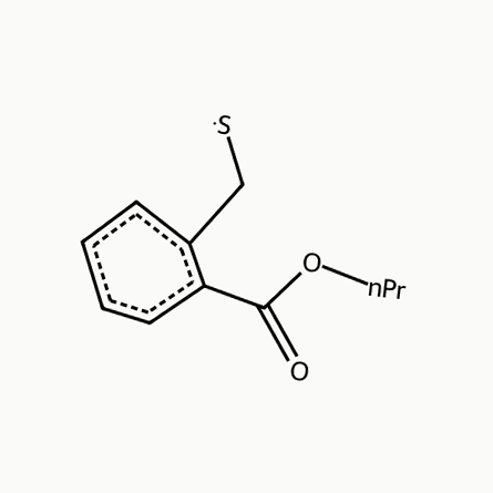 CCCOC(=O)c1ccccc1C[S]